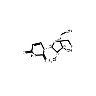 C=C1NC(=O)C=CN1[C@@H]1O[C@@](CO)(CF)[C@@H](O)[C@@H]1Cl